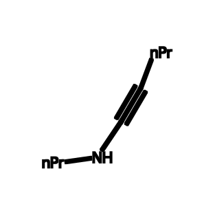 CCCC#CNCCC